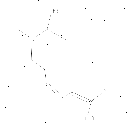 CCC/C(=C\C=C/CCN(C)C(C)C(C)C)C(C)=O